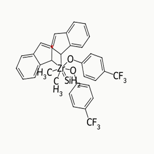 [CH3][Zr]([CH3])(=[SiH2])([O]c1ccc(C(F)(F)F)cc1)([O]c1ccc(C(F)(F)F)cc1)([CH]1C=Cc2ccccc21)[CH]1C=Cc2ccccc21